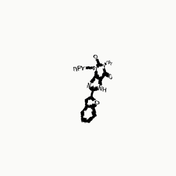 CCCn1c(=O)c2[nH]c(-c3cc4ccccc4o3)nc2n(CCC)c1=O